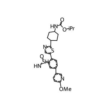 COc1ccc(-c2ccc(-c3cnc(C4CCC(NC(=O)OC(C)C)CC4)s3)c([SH](=N)=O)c2)cn1